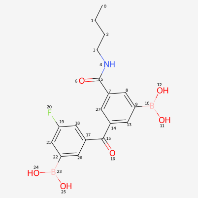 CCCCNC(=O)c1cc(B(O)O)cc(C(=O)c2cc(F)cc(B(O)O)c2)c1